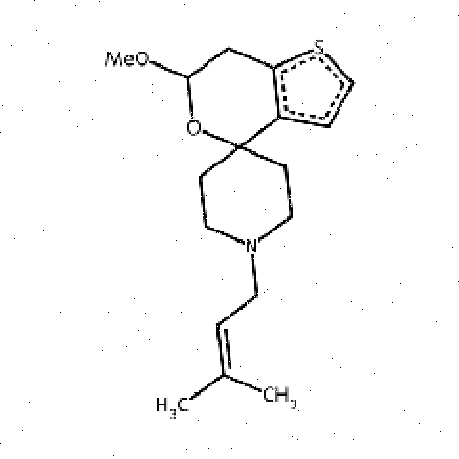 COC1Cc2sccc2C2(CCN(CC=C(C)C)CC2)O1